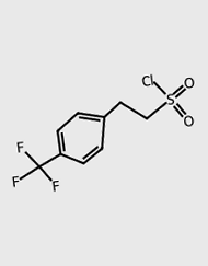 O=S(=O)(Cl)CCc1ccc(C(F)(F)F)cc1